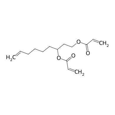 C=CCCCCC(CCOC(=O)C=C)OC(=O)C=C